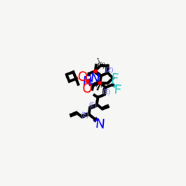 C=C/C=C(C#N)\C=C(/C=C)C(C)/C=C(\c1c(C)ncc(C)c1/C1=C\[C@@H](C)CN(C(=O)OC2(C)CCC2)[C@H](C)CC1)C(F)F